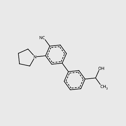 CC(O)c1cccc(-c2ccc(C#N)c(N3CCCC3)c2)c1